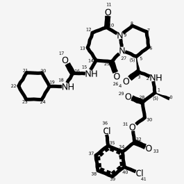 C[C@H](NC(=O)[C@@H]1CCCN2C(=O)CCC(NC(=O)NC3CCCCC3)C(=O)N12)C(=O)COC(=O)c1c(Cl)cccc1Cl